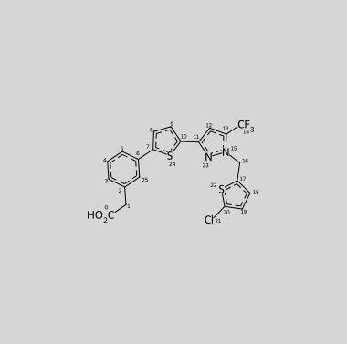 O=C(O)Cc1cccc(-c2ccc(-c3cc(C(F)(F)F)n(Cc4ccc(Cl)s4)n3)s2)c1